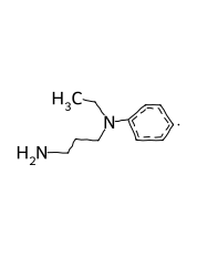 CCN(CCCN)c1cc[c]cc1